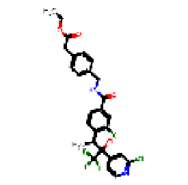 CCOC(=O)Cc1ccc(CNC(=O)c2ccc(C(C)C(O)(c3ccnc(Cl)c3)C(F)(F)F)c(Cl)c2)cc1